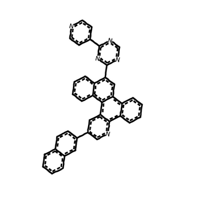 c1ccc2cc(-c3cnc4c5ccccc5c5cc(-c6ncnc(-c7ccncc7)n6)c6ccccc6c5c4c3)ccc2c1